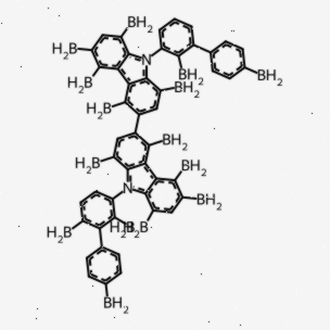 Bc1ccc(-c2cccc(-n3c4c(B)cc(B)c(B)c4c4c(B)c(-c5cc(B)c6c(c5B)c5c(B)c(B)cc(B)c5n6-c5ccc(B)c(-c6ccc(B)cc6)c5B)cc(B)c43)c2B)cc1